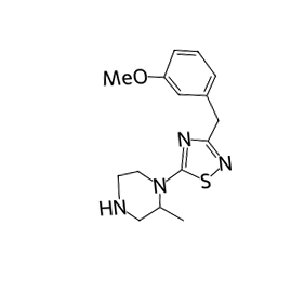 COc1cccc(Cc2nsc(N3CCNCC3C)n2)c1